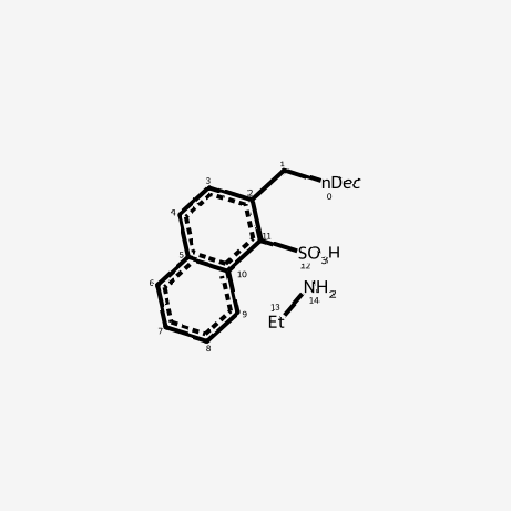 CCCCCCCCCCCc1ccc2ccccc2c1S(=O)(=O)O.CCN